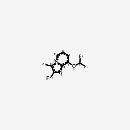 CC(C)c1nc2c(OC(F)F)cccn2c1I